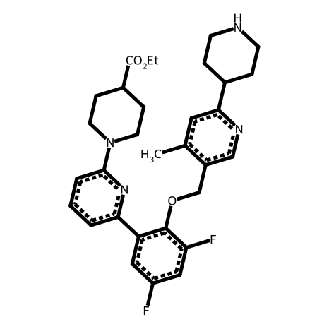 CCOC(=O)C1CCN(c2cccc(-c3cc(F)cc(F)c3OCc3cnc(C4CCNCC4)cc3C)n2)CC1